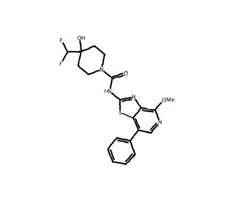 COc1ncc(-c2ccccc2)c2sc(NC(=O)N3CCC(O)(C(F)F)CC3)nc12